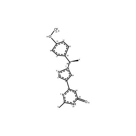 Cc1nc(-c2cnn([C@H](C)c3ccc(OC(F)(F)F)cc3)c2)cc(=O)[nH]1